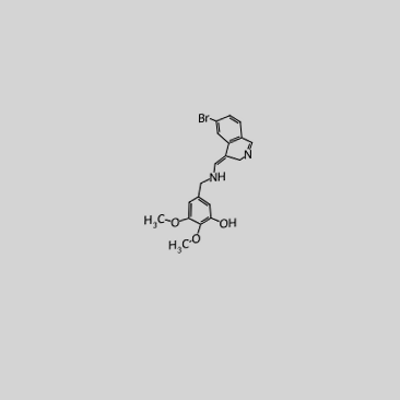 COc1cc(CNC=C2CN=Cc3ccc(Br)cc32)cc(O)c1OC